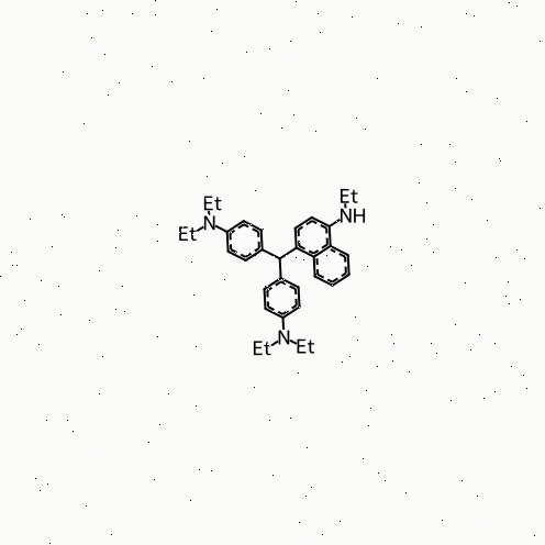 CCNc1ccc(C(c2ccc(N(CC)CC)cc2)c2ccc(N(CC)CC)cc2)c2ccccc12